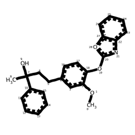 COc1cc(CCC(C)(O)c2ccccc2)ccc1Oc1nc2ccccc2o1